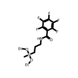 CCO[Si](C)(CCCNC(=O)c1c(F)c(F)c(F)c(F)c1F)OCC